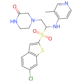 Cc1cnccc1NC(CN1CCNC(=O)C1)S(=O)(=O)c1cc2ccc(Cl)cc2s1